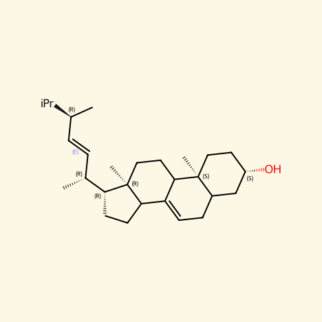 CC(C)[C@@H](C)/C=C/[C@@H](C)[C@H]1CCC2C3=CCC4C[C@@H](O)CC[C@]4(C)C3CC[C@@]21C